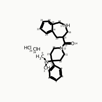 CN(C)C1(c2ccccc2)CCN(C(=O)C2CNCc3ccccc3C2)CC1.Cl.Cl